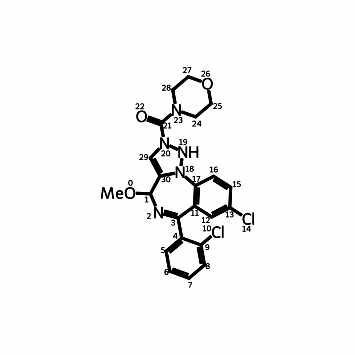 COC1N=C(c2ccccc2Cl)c2cc(Cl)ccc2N2NN(C(=O)N3CCOCC3)C=C12